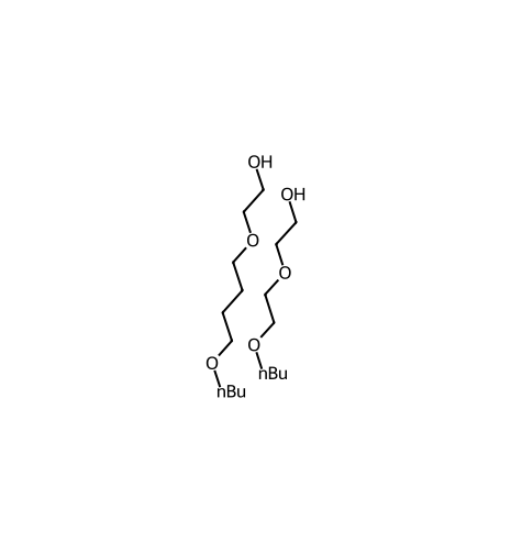 CCCCOCCCCOCCO.CCCCOCCOCCO